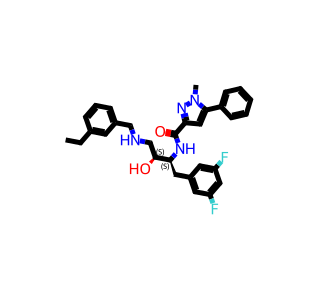 CCc1cccc(CNC[C@H](O)[C@H](Cc2cc(F)cc(F)c2)NC(=O)c2cc(-c3ccccc3)n(C)n2)c1